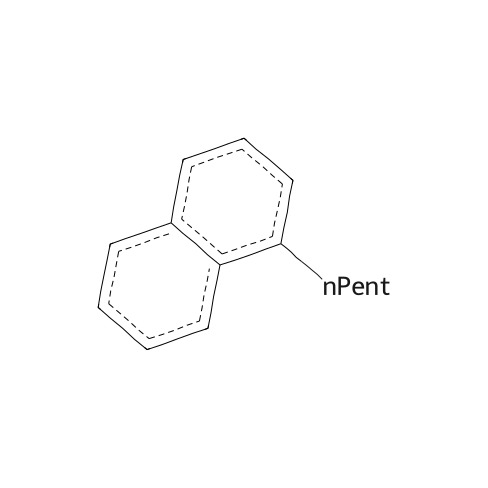 CC[CH]CCc1cccc2ccccc12